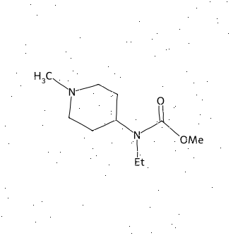 CCN(C(=O)OC)C1CCN(C)CC1